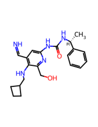 C[C@@H](NC(=O)Nc1cc(C=N)c(NCC2CCC2)c(CO)n1)c1ccccc1